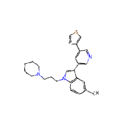 N#Cc1ccc2c(c1)c(-c1cncc(-c3ccsc3)c1)cn2CCCN1CCCCC1